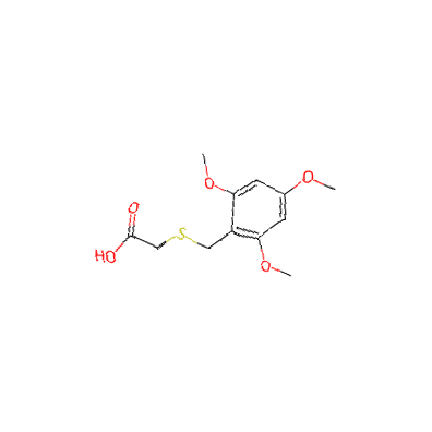 COc1cc(OC)c(CSCC(=O)O)c(OC)c1